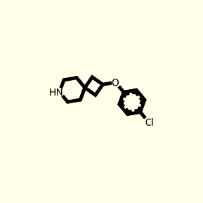 Clc1ccc(OC2CC3(CCNCC3)C2)cc1